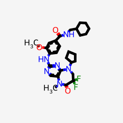 COc1cc(C(=O)NCC2CCCCC2)ccc1Nc1ncc2c(n1)N(C1CCCC1)CC(F)(F)C(=O)N2C